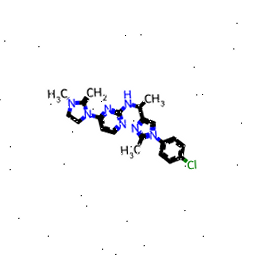 C=C1N(C)CCN1c1ccnc(NC(C)c2cn(-c3ccc(Cl)cc3)c(C)n2)n1